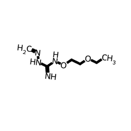 C=NNC(=N)NOCCOCC